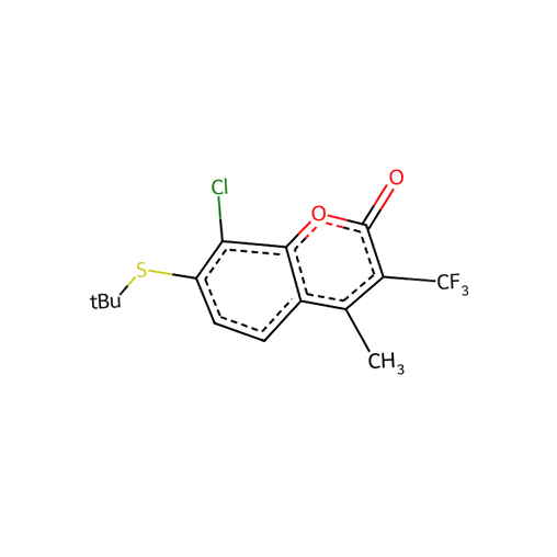 Cc1c(C(F)(F)F)c(=O)oc2c(Cl)c(SC(C)(C)C)ccc12